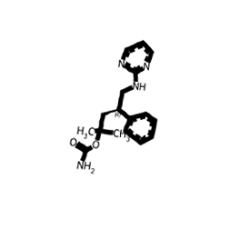 CC(C)(C[C@@H](CNc1ncccn1)c1ccccc1)OC(N)=O